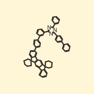 c1ccc(-c2ccc(-c3nc(-c4ccccc4)nc(-c4cccc(-c5ccc(-c6ccc7c(c6)-c6cc8c(cc6C76CCCCC6)-c6ccccc6C86CCCCC6)cc5)c4)n3)cc2)cc1